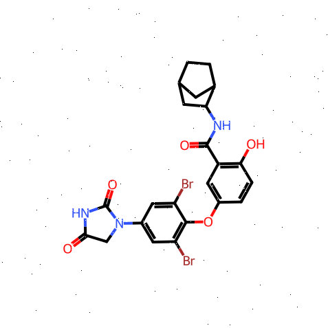 O=C1CN(c2cc(Br)c(Oc3ccc(O)c(C(=O)NC4CC5CCC4C5)c3)c(Br)c2)C(=O)N1